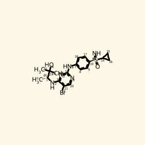 C[C@@H](Nc1nc(Nc2ccc([S@](=N)(=O)C3CC3)cc2)ncc1Br)C(C)(C)O